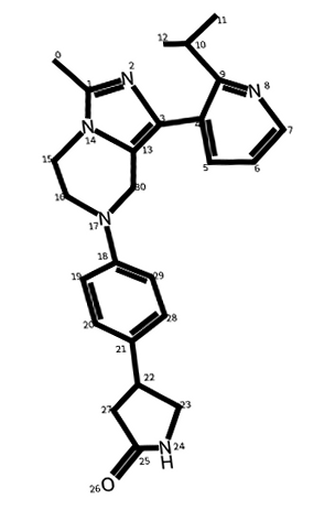 Cc1nc(-c2cccnc2C(C)C)c2n1CCN(c1ccc(C3CNC(=O)C3)cc1)C2